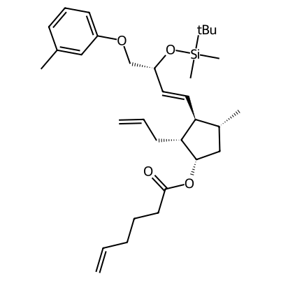 C=CCCCC(=O)O[C@H]1C[C@@H](C)[C@H](/C=C/[C@H](COc2cccc(C)c2)O[Si](C)(C)C(C)(C)C)[C@H]1CC=C